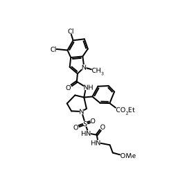 CCOC(=O)c1cccc(C2(NC(=O)c3cc4c(Cl)c(Cl)ccc4n3C)CCCN(S(=O)(=O)NC(=O)NCCOC)C2)c1